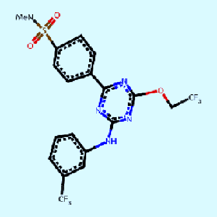 CNS(=O)(=O)c1ccc(-c2nc(Nc3cccc(C(F)(F)F)c3)nc(OCC(F)(F)F)n2)cc1